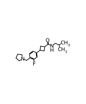 CC(C)CNC(=O)C1CC(c2ccc(CN3CCCC3)c(F)c2)C1